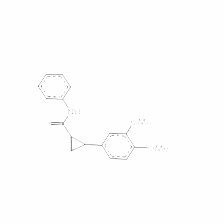 COc1ccc(C2CC2C(=O)Nc2ccccc2)cc1OC